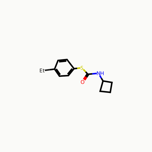 CCc1ccc(SC(=O)NC2CCC2)cc1